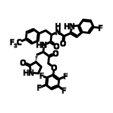 O=C(NC(Cc1ccc(C(F)(F)F)cc1)C(=O)NC(C[C@@H]1CCNC1=O)C(=O)COc1c(F)c(F)cc(F)c1F)c1cc2cc(F)ccc2[nH]1